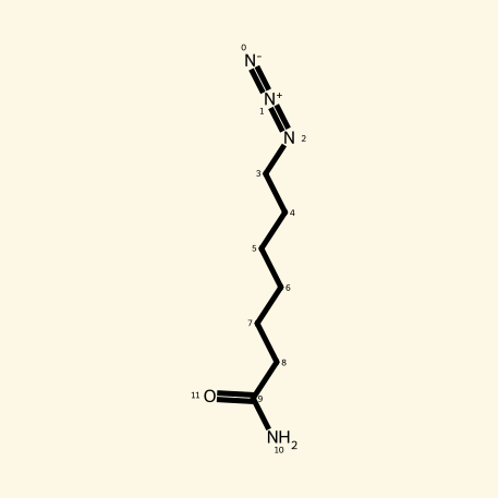 [N-]=[N+]=NCCCCCCC(N)=O